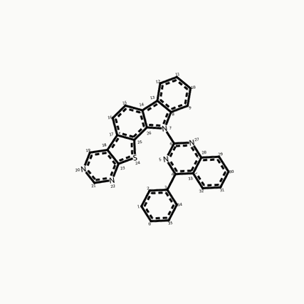 c1ccc(-c2nc(-n3c4ccccc4c4ccc5c6cncnc6sc5c43)nc3ccccc23)cc1